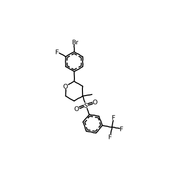 CC1(S(=O)(=O)c2cccc(C(F)(F)F)c2)CCOC(c2ccc(Br)c(F)c2)C1